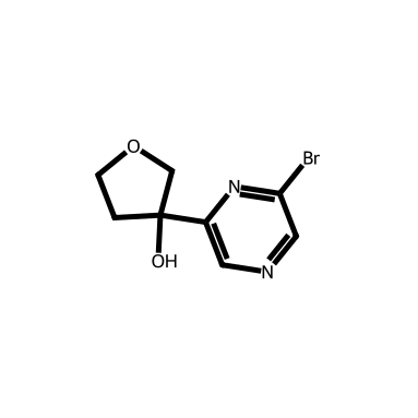 OC1(c2cncc(Br)n2)CCOC1